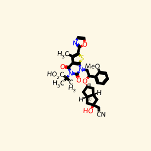 COc1ccccc1C(Cn1c(=O)n(C(C)(C)C(=O)O)c(=O)c2c(C)c(-c3ncco3)sc21)O[C@@H]1C[C@@H]2CC(O)(CC#N)C[C@@H]2C1